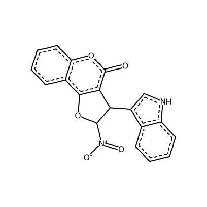 O=c1oc2ccccc2c2c1C(c1c[nH]c3ccccc13)C([N+](=O)[O-])O2